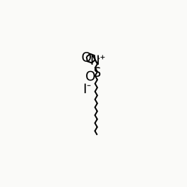 CCCCCCCCCCCCCCCC(=O)SCC[N+]1(C)CCOCC1.[I-]